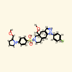 COCC1CCCN1c1ccc(S(=O)(=O)N2CCC3=Cc4c(cnn4-c4ccc(F)cc4)CC3(COC)C2)cc1